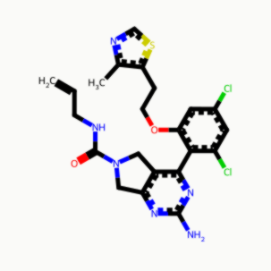 C=CCNC(=O)N1Cc2nc(N)nc(-c3c(Cl)cc(Cl)cc3OCCc3scnc3C)c2C1